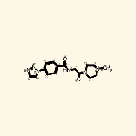 CN1CCN(C(=O)CNC(=O)c2ccc(-n3ccnn3)cc2)CC1